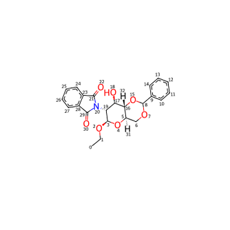 CCO[C@@H]1O[C@@H]2COC(c3ccccc3)O[C@H]2[C@H](O)[C@H]1N1C(=O)c2ccccc2C1=O